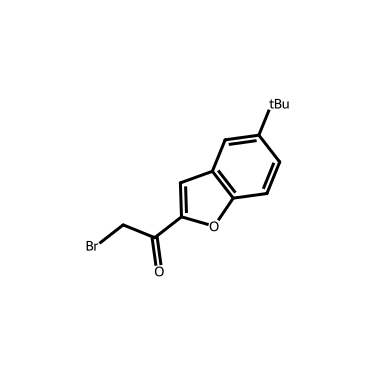 CC(C)(C)c1ccc2oc(C(=O)CBr)cc2c1